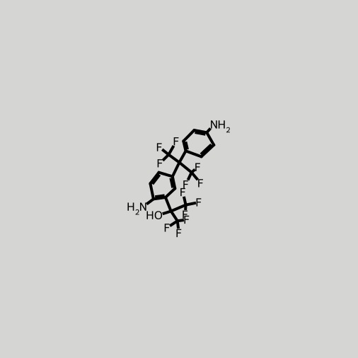 Nc1ccc(C(c2ccc(N)c(C(O)(C(F)(F)F)C(F)(F)F)c2)(C(F)(F)F)C(F)(F)F)cc1